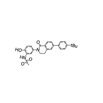 CC(C)(C)c1ccc(-c2ccc3c(c2)CCN(c2ccc(O)c(NS(C)(=O)=O)c2)C3=O)cc1